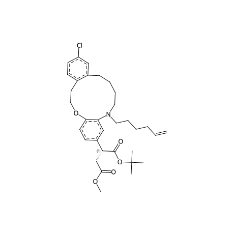 C=CCCCCN1CCCCc2cc(Cl)ccc2CCOc2ccc([C@@H](CC(=O)OC)C(=O)OC(C)(C)C)cc21